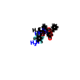 C[C@H](NC(=O)c1c(F)c(F)c(N)c(F)c1F)C(=O)N1CCC[C@H]1C(=O)N[C@H]1CC(=O)OC1OCc1ccccc1